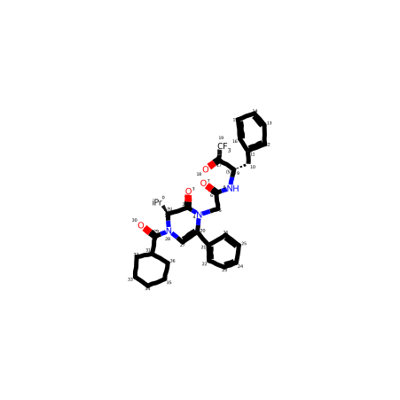 CC(C)[C@H]1C(=O)N(CC(=O)N[C@@H](Cc2ccccc2)C(=O)C(F)(F)F)C(c2ccccc2)=CN1C(=O)C1CCCCC1